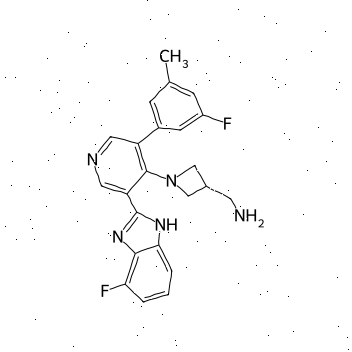 Cc1cc(F)cc(-c2cncc(-c3nc4c(F)cccc4[nH]3)c2N2CC(CN)C2)c1